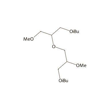 COCC(COCC(C)C)OCC(COCC(C)C)OC